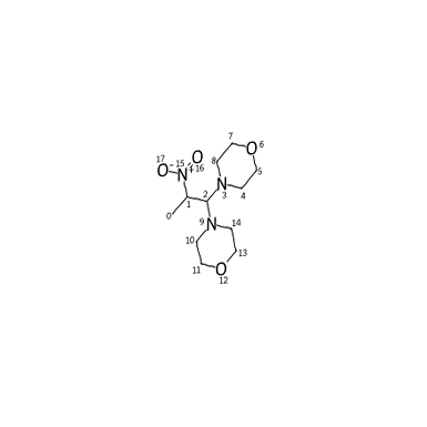 CC(C(N1CCOCC1)N1CCOCC1)[N+](=O)[O-]